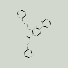 O=C(NCc1cccnc1)c1ccc(-c2ccccc2F)nc1NCCc1ccccn1